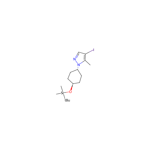 Cc1c(I)cnn1[C@H]1CC[C@H](O[Si](C)(C)C(C)(C)C)CC1